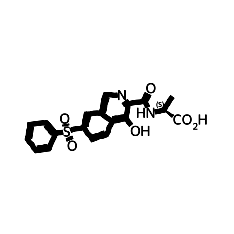 C[C@H](NC(=O)c1ncc2cc(S(=O)(=O)c3ccccc3)ccc2c1O)C(=O)O